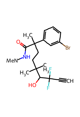 C#CC(F)(F)C(O)C(C)(C)CCC(C)(C(=O)NNC)c1cccc(Br)c1